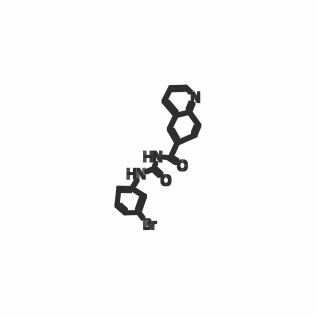 O=C(NC(=O)c1ccc2ncccc2c1)Nc1cccc(Br)c1